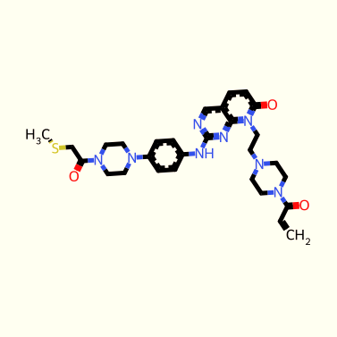 C=CC(=O)N1CCN(CCn2c(=O)ccc3cnc(Nc4ccc(N5CCN(C(=O)CSC)CC5)cc4)nc32)CC1